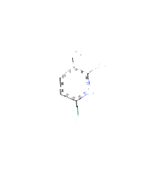 CCc1nc(Cl)ccc1C#N